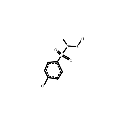 CN(SCl)S(=O)(=O)c1ccc(Cl)cc1